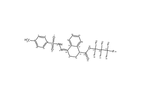 Cc1ccc(S(=O)(=O)N/N=C2/CCC(C(=O)OC(F)(F)C(F)(F)C(F)(F)F)c3ccccc32)cc1